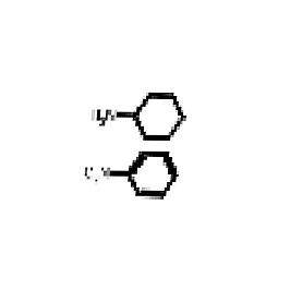 NC1CCCCC1.O=[N+]([O-])c1ccccc1